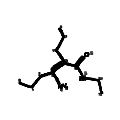 CCC/C(N)=C(\CCC)C(=O)NCC